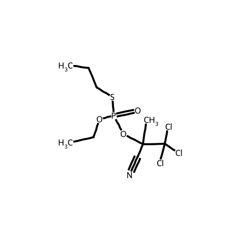 CCCSP(=O)(OCC)OC(C)(C#N)C(Cl)(Cl)Cl